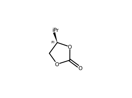 CC(C)[C@@H]1COC(=O)O1